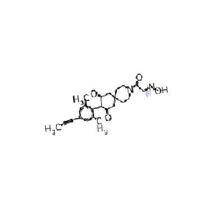 CC#Cc1cc(C)c(C2C(=O)CC3(CCN(C(=O)/C=N/O)CC3)CC2=O)c(C)c1